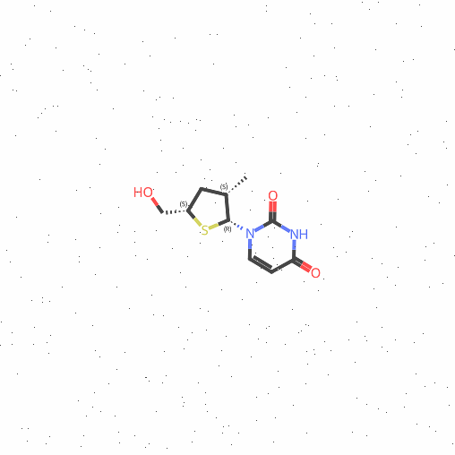 C[C@H]1C[C@@H](CO)S[C@H]1n1ccc(=O)[nH]c1=O